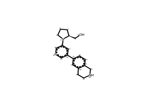 OC[C@@H]1CCCN1c1cncc(-c2ccc3c(c2)CCNC3)c1